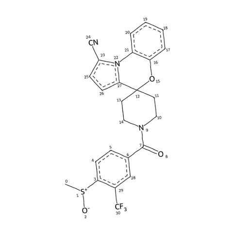 C[S+]([O-])c1ccc(C(=O)N2CCC3(CC2)Oc2ccccc2-n2c(C#N)ccc23)cc1C(F)(F)F